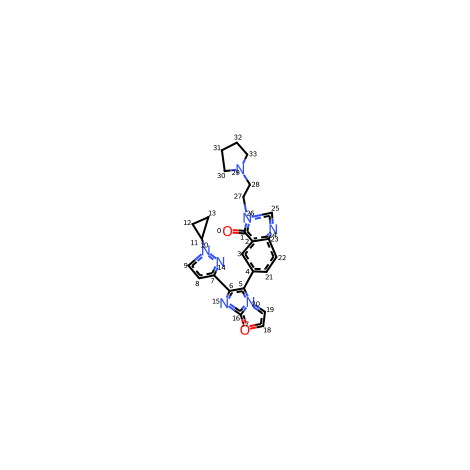 O=c1c2cc(-c3c(-c4ccn(C5CC5)n4)nc4occn34)ccc2ncn1CCN1CCCC1